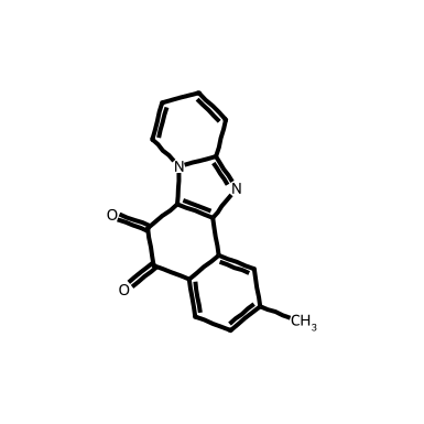 Cc1ccc2c(c1)-c1nc3ccccn3c1C(=O)C2=O